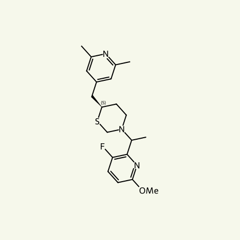 COc1ccc(F)c(C(C)N2CC[C@H](Cc3cc(C)nc(C)c3)SC2)n1